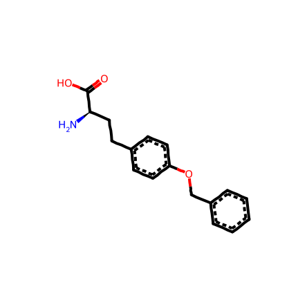 N[C@H](CCc1ccc(OCc2ccccc2)cc1)C(=O)O